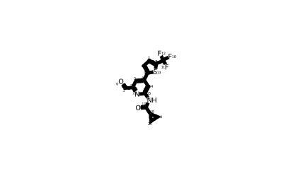 O=Cc1cc(-c2ccc(C(F)(F)F)s2)cc(NC(=O)C2CC2)n1